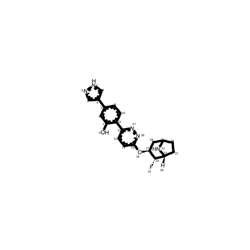 Oc1cc(-c2cn[nH]c2)ccc1-c1ccc(O[C@H]2CC3CC[C@@H](N3)[C@@H]2F)nn1